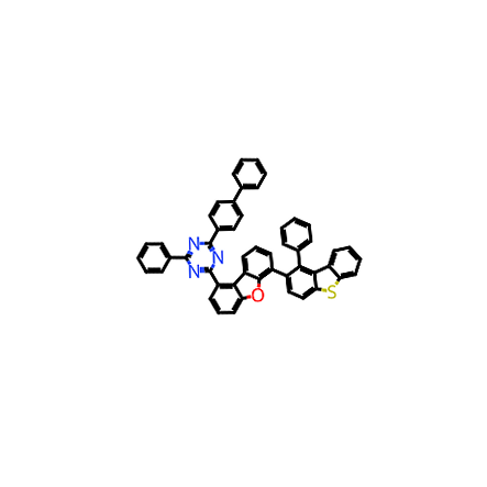 c1ccc(-c2ccc(-c3nc(-c4ccccc4)nc(-c4cccc5oc6c(-c7ccc8sc9ccccc9c8c7-c7ccccc7)cccc6c45)n3)cc2)cc1